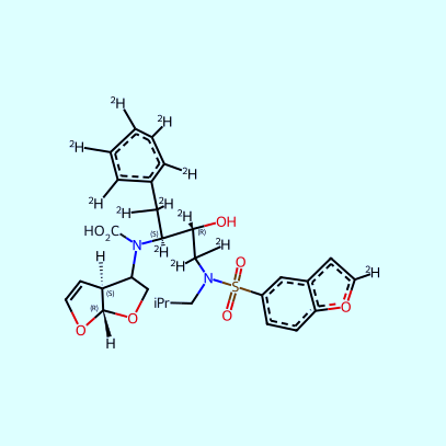 [2H]c1cc2cc(S(=O)(=O)N(CC(C)C)C([2H])([2H])[C@@]([2H])(O)[C@@]([2H])(N(C(=O)O)C3CO[C@@H]4OC=C[C@@H]34)C([2H])([2H])c3c([2H])c([2H])c([2H])c([2H])c3[2H])ccc2o1